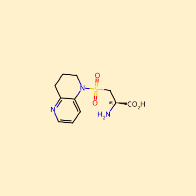 N[C@@H](CS(=O)(=O)N1CCCc2ncccc21)C(=O)O